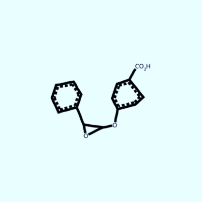 O=C(O)c1ccc(OC2OC2c2ccccc2)cc1